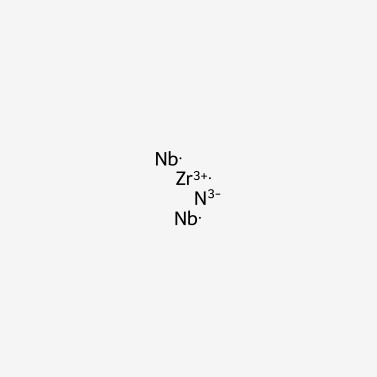 [N-3].[Nb].[Nb].[Zr+3]